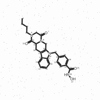 CCCCN1CC(=O)N2Cc3c(c4ccccc4n3Cc3ccc(C(=O)NO)cc3)CC2C1=O